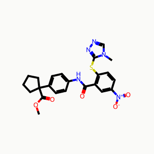 COC(=O)C1(c2ccc(NC(=O)c3cc([N+](=O)[O-])ccc3Sc3nncn3C)cc2)CCCC1